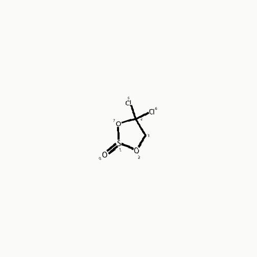 O=S1OCC(Cl)(Cl)O1